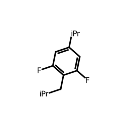 CC(C)Cc1c(F)cc(C(C)C)cc1F